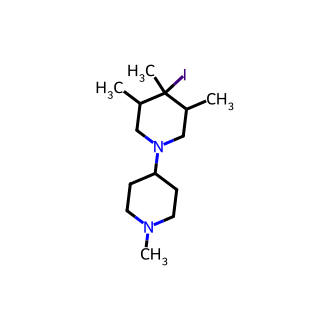 CC1CN(C2CCN(C)CC2)CC(C)C1(C)I